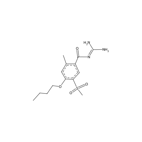 CCCCOc1cc(C)c(C(=O)N=C(N)N)cc1S(C)(=O)=O